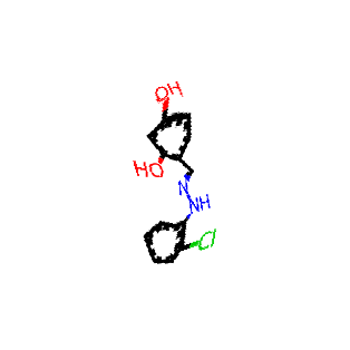 Oc1ccc(C=NNc2ccccc2Cl)c(O)c1